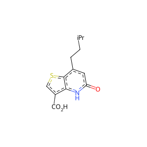 CC(C)CCc1cc(=O)[nH]c2c(C(=O)O)csc12